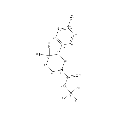 CC(C)(C)OC(=O)N1CCC(F)(F)C(c2cc[n+]([O-])cc2)C1